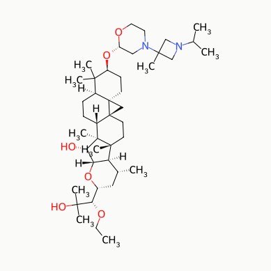 CCO[C@@H]([C@H]1C[C@@H](C)[C@H]2[C@H](O1)[C@H](O)[C@@]1(C)[C@@H]3CC[C@H]4C(C)(C)[C@@H](O[C@H]5CN(C6(C)CN(C(C)C)C6)CCO5)CC[C@@]45C[C@@]35CC[C@]21C)C(C)(C)O